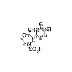 O=C[C@@H]1OCCN(C(=O)O)C[C@H]1c1ccc(Cl)c(Cl)c1